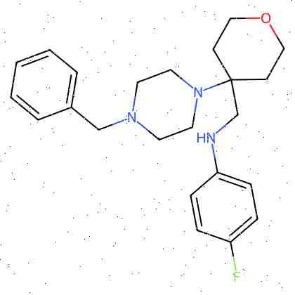 Fc1ccc(NCC2(N3CCN(Cc4ccccc4)CC3)CCOCC2)cc1